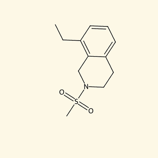 CCc1cccc2c1CN(S(C)(=O)=O)CC2